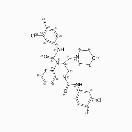 O=C(Nc1ccc(F)c(Cl)c1)N1CC(CN2CCOCC2)N(C(=O)Nc2ccc(F)c(Cl)c2)c2ccccc21